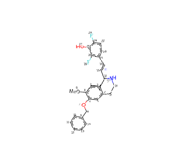 COc1cc2c(cc1OCc1ccccc1)CCNC2/C=C/c1ccc(F)c(O)c1F